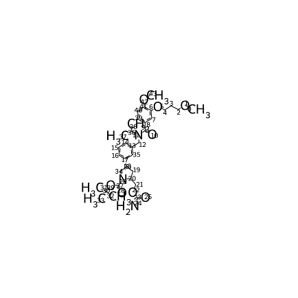 COCCCOc1cc(C(=O)N(Cc2cccc([C@@H]3CC(COC(N)=O)N(C(=O)OC(C)(C)C)C3)c2)C(C)C)ccc1OC